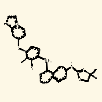 Cc1c(Oc2ccn3ccnc3c2)ccc(Nc2ncnc3ccc(NC4=NC(C)(C)CO4)cc23)c1F